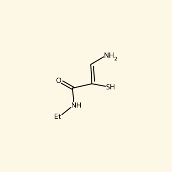 CCNC(=O)/C(S)=C/N